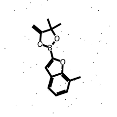 C=C1OB(c2cc3cccc(C)c3o2)OC1(C)C